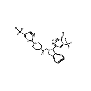 O=C(CN1Cc2ccccc2C1c1cc(C(F)(F)F)c(=O)[nH]n1)N1CCN(c2ncc(C(F)(F)F)cn2)CC1